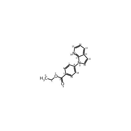 CCOC(=O)c1ccc(-n2ccc3cccnc32)cc1